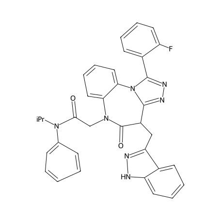 CC(C)N(C(=O)CN1C(=O)C(Cc2n[nH]c3ccccc23)c2nnc(-c3ccccc3F)n2-c2ccccc21)c1ccccc1